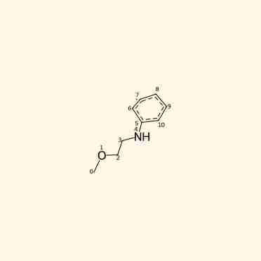 COCCNc1c[c]ccc1